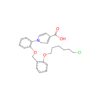 O=C(O)C1=CCN(c2ccccc2OCc2ccccc2OCCCCCCCl)C=C1